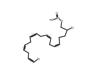 CC/C=C\C/C=C\C/C=C\C/C=C\C/C=C\CCC(CC)CO[PH](=O)O